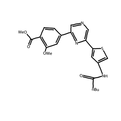 CCCCC(=O)Nc1csc(-c2cncc(-c3ccc(C(=O)OC)c(OC)c3)n2)c1